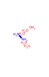 NN.O.O.O.O.O